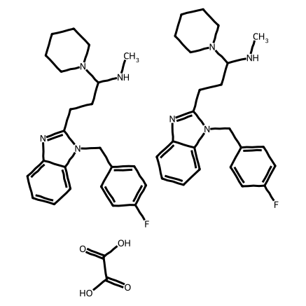 CNC(CCc1nc2ccccc2n1Cc1ccc(F)cc1)N1CCCCC1.CNC(CCc1nc2ccccc2n1Cc1ccc(F)cc1)N1CCCCC1.O=C(O)C(=O)O